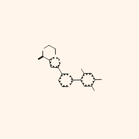 O=C1NCCn2nc(-c3ccnc(-c4cc(F)c(F)cc4C(F)(F)F)n3)cc21